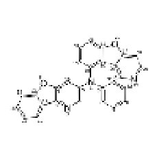 c1ccc(N(c2cnc3c(c2)oc2ccccc23)c2cccc3oc4ccncc4c23)cc1